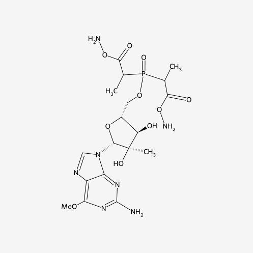 COc1nc(N)nc2c1ncn2[C@@H]1O[C@H](COP(=O)(C(C)C(=O)ON)C(C)C(=O)ON)[C@@H](O)[C@@]1(C)O